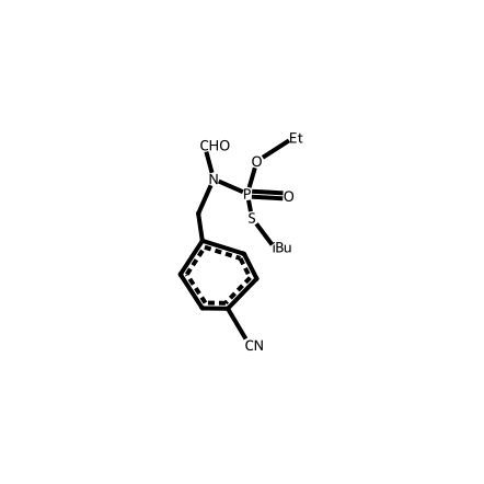 CCOP(=O)(SC(C)CC)N(C=O)Cc1ccc(C#N)cc1